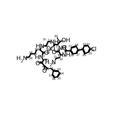 C[C@H](NC(=O)[C@@H](NC(=O)[C@H](CCN)NC(=O)c1ccc(-c2ccc(Cl)cc2)cc1)[C@@H](C)O)C(=O)N[C@@H](CCCCN)C(=O)N[C@@H](C)C(=O)C1O[C@@H]1Cc1ccccc1